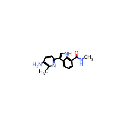 CNC(=O)c1cccc2c(-c3ccc(N)c(C)n3)c[nH]c12